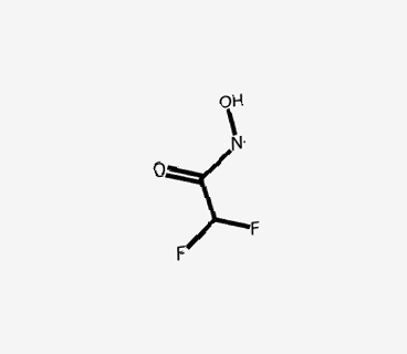 O=C([N]O)C(F)F